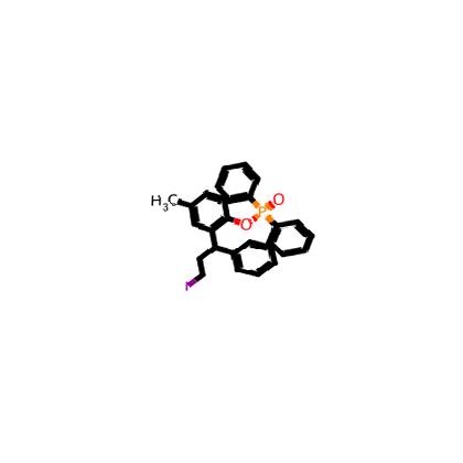 Cc1ccc(OP(=O)(c2ccccc2)c2ccccc2)c(C(CCI)c2ccccc2)c1